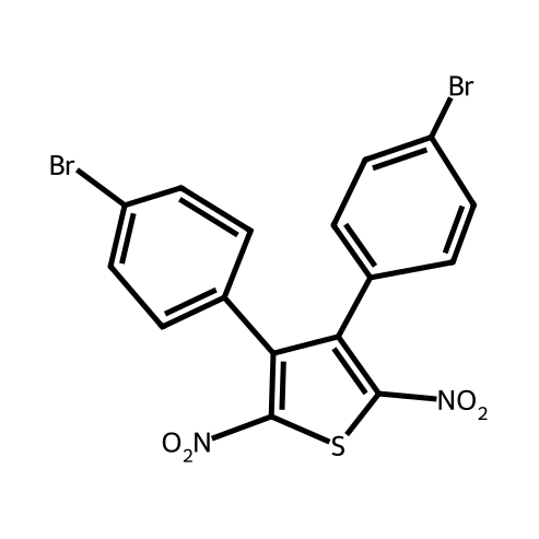 O=[N+]([O-])c1sc([N+](=O)[O-])c(-c2ccc(Br)cc2)c1-c1ccc(Br)cc1